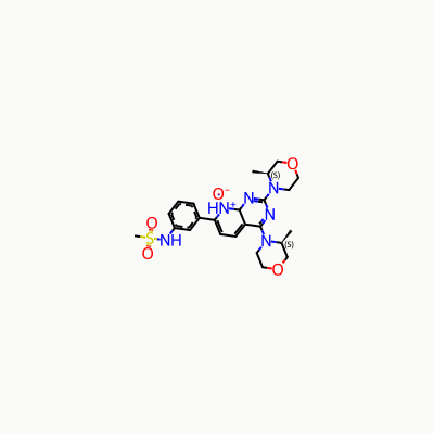 C[C@H]1COCCN1C1=NC2C(=CC=C(c3cccc(NS(C)(=O)=O)c3)[NH+]2[O-])C(N2CCOC[C@@H]2C)=N1